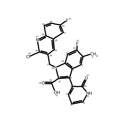 Cc1cc2c(-c3ccc[nH]c3=O)c(C(=O)O)n(Cc3cc4cc(F)ccc4nc3Cl)c2cc1F